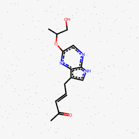 CC(=O)/C=C/Cc1c[nH]c2ncc(OC(C)CO)nc12